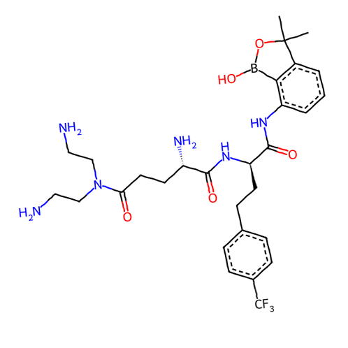 CC1(C)OB(O)c2c(NC(=O)[C@@H](CCc3ccc(C(F)(F)F)cc3)NC(=O)[C@@H](N)CCC(=O)N(CCN)CCN)cccc21